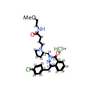 COCCNC(=O)CCCN1CCC[C@@H]1Cn1nc(Cc2ccc(Cl)cc2)c2ccccc2c1=O.Cl